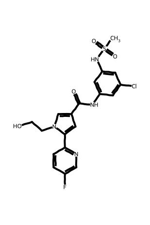 CS(=O)(=O)Nc1cc(Cl)cc(NC(=O)c2cc(-c3ccc(F)cn3)n(CCO)c2)c1